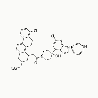 C1=CC=CNC=C1.CC(C)(C)CC1Cc2ccc3c(c2C(CC(=O)N2CCC(O)(c4cc(Cl)nc5[nH]ccc45)CC2)C1)CCc1c(Cl)cccc1-3